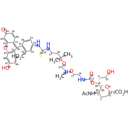 CC(=O)N[C@@H]1CC=C(C(=O)O)O[C@H]1[C@@H](CCO)OC(=O)NCCON(C)COC(C)(C)CCNC(=S)Nc1ccc(-c2c3ccc(=O)cc-3oc3cc(O)ccc23)c(C(=O)O)c1